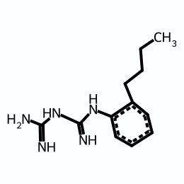 CCCCc1ccccc1NC(=N)NC(=N)N